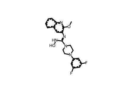 COc1nc2ccccc2cc1N=C(NO)N1CCN(c2cc(F)cc(F)c2)CC1